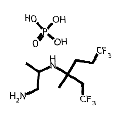 CC(CN)NC(C)(CCC(F)(F)F)CC(F)(F)F.O=P(O)(O)O